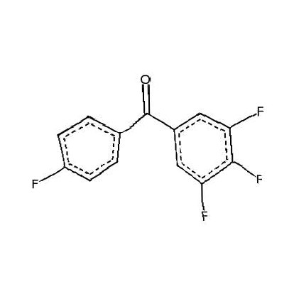 O=C(c1ccc(F)cc1)c1cc(F)c(F)c(F)c1